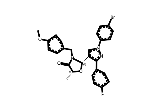 COc1ccc(CN2C(=O)[C@@H](C)O[C@H]2c2cn(-c3ccc(Br)cc3)nc2-c2ccc(F)cc2)cc1